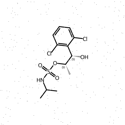 CC(C)NS(=O)(=O)O[C@@H](C)[C@@H](O)c1c(Cl)cccc1Cl